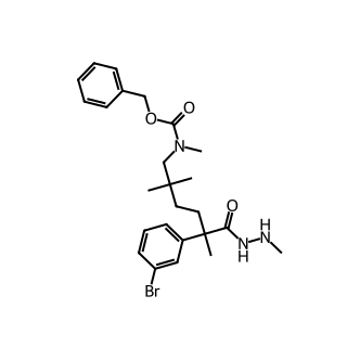 CNNC(=O)C(C)(CCC(C)(C)CN(C)C(=O)OCc1ccccc1)c1cccc(Br)c1